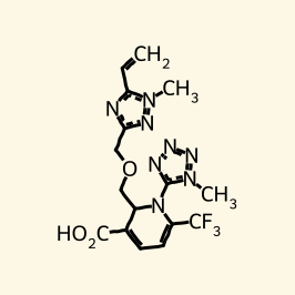 C=Cc1nc(COCC2C(C(=O)O)=CC=C(C(F)(F)F)N2c2nnnn2C)nn1C